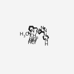 CN(C)c1cccc(Cn2ncc3c(N4CCNCC4)ncnc32)n1.Cl.Cl.Cl